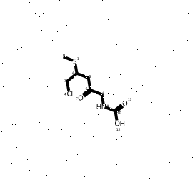 CSC(CCl)CC(=O)CNC(=O)O